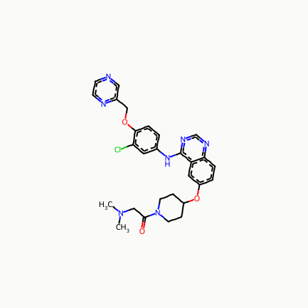 CN(C)CC(=O)N1CCC(Oc2ccc3ncnc(Nc4ccc(OCc5cnccn5)c(Cl)c4)c3c2)CC1